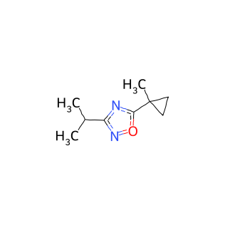 CC(C)c1noc(C2(C)CC2)n1